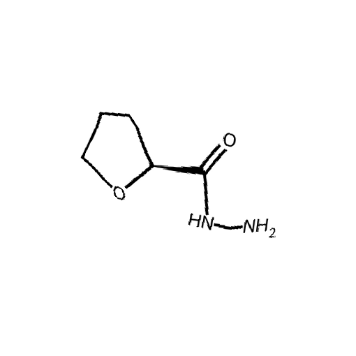 NNC(=O)[C@@H]1CCCO1